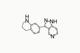 c1cc2[nH]nc(-c3ccc4c(c3)NCCC4)c2cn1